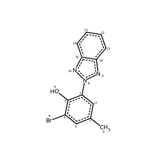 Cc1cc(Br)c(O)c(-n2nc3ccccc3n2)c1